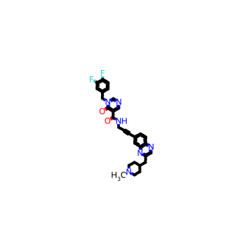 CN1CCC(Cc2cnc3ccc(C#CCNC(=O)c4cncn(Cc5ccc(F)c(F)c5)c4=O)cc3n2)CC1